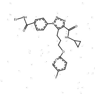 CCNC(=O)c1ccc(-n2nnc(C(=O)NC3CC3)c2CCCOc2ccc(F)cc2)cc1